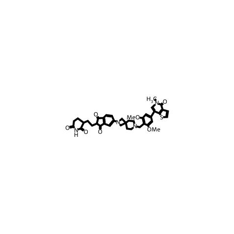 COc1cc(-c2cn(C)c(=O)c3ccsc23)cc(OC)c1CN1CCC2(CC1)CN(c1ccc3c(c1)C(=O)C(CCC1CCC(=O)NC1=O)C3=O)C2